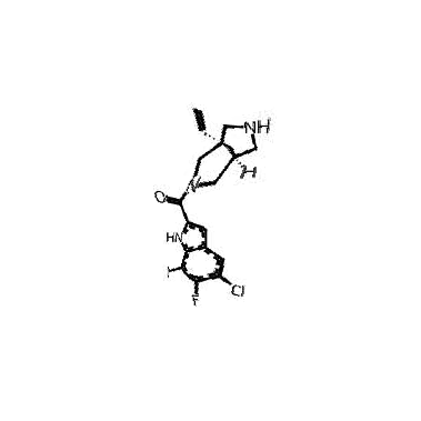 C=C[C@]12CNC[C@H]1CN(C(=O)c1cc3cc(Cl)c(F)c(I)c3[nH]1)C2